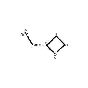 CCCC[C@@H]1CCS1